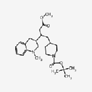 COC(=O)CC(CC1CCN(C(=O)OC(C)(C)C)CC1)C1Cc2ccccc2N(C)C1